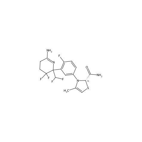 CC1=CS[C@@H](C(N)=O)N1c1ccc(F)c(C2(C(F)F)N=C(N)CCC2(F)F)c1